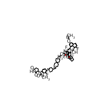 C#Cc1c(F)ccc2cc(OCOC)cc(-c3ncc4c(N5CC6CCC(C5)N6C(=O)OC(C)(C)C)nc(OCCN5CCC6(CC5)CCN(CC5CCN(c7ccc8c(c7F)n(C)c(=O)n8C7CCC(=O)NC7=O)CC5)CC6)nc4c3F)c12